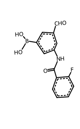 O=Cc1cc(NC(=O)c2ccccc2F)cc(B(O)O)c1